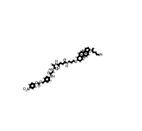 CC(C)CCCC(C)[C@H]1CC[C@H]2[C@@H]3CC=C4C[C@@H](OCCCNC(=O)CCC(=O)NC(C)C(=O)NCC(=O)Nc5ccc(COC(=O)Oc6ccc([N+](=O)[O-])cc6)cc5)CC[C@]4(C)[C@H]3CC[C@]12C